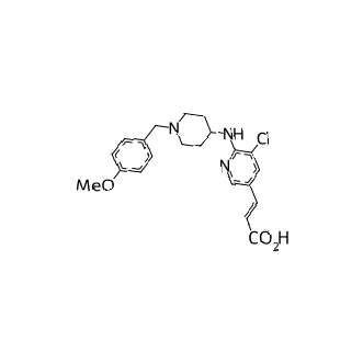 COc1ccc(CN2CCC(Nc3ncc(C=CC(=O)O)cc3Cl)CC2)cc1